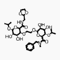 CC(C)O[C@@H]1OC(C(=O)NCC2OCCO2)[C@@H](OCCO[C@@H]2OC(C(=O)N(C)Cc3ccccc3)[C@@H](OC(C)C)[C@H](O)[C@@H]2O)[C@H](O)[C@@H]1O